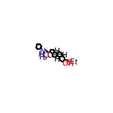 CCOC[C@@]1(O)CC[C@H]2[C@H](CC[C@@H]3[C@@H]2CC[C@]2(C)[C@@H](C(=O)CNc4ccccc4)CC[C@@H]32)C1